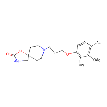 CCCc1c(OCCCN2CCC3(CC2)CNC(=O)O3)ccc(C(C)=O)c1OC(C)=O